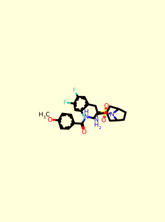 COc1ccc(C(=O)NCCS(=O)(=O)N2C3CCC2CC([C@H](N)Cc2cc(F)c(F)cc2F)C3)cc1